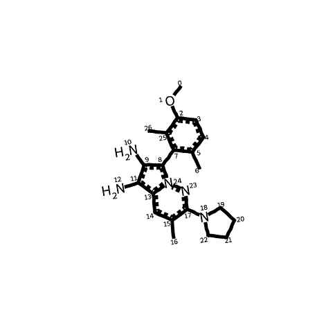 COc1ccc(C)c(-c2c(N)c(N)c3cc(C)c(N4CCCC4)nn23)c1C